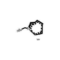 CCCC[n+]1ccccc1.[W]